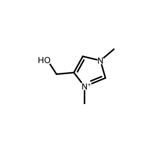 Cn1cc(CO)[n+](C)c1